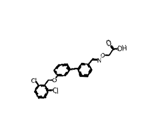 O=C(O)CON=Cc1cccc(-c2cccc(OCc3c(Cl)cccc3Cl)c2)c1